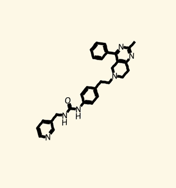 Cc1nc2c(c(-c3ccccc3)n1)CN(CCc1ccc(NC(=O)NCc3cccnc3)cc1)CC2